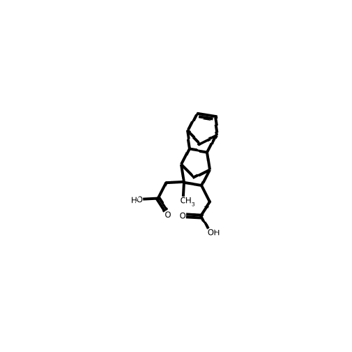 CC1(CC(=O)O)C(CC(=O)O)C2CC1C1C3C=CC(C3)C21